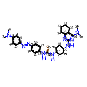 CN(C)c1ccc(/N=N/c2ccc(NC(=S)N[C@H]3CC[C@@H](Nc4nc5c(c(N(C)C)n4)CCCC5)CC3)cc2)cc1